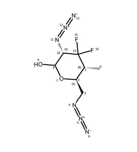 C[C@@H]1[C@@H](CN=[N+]=[N-])OC(O)[C@H](N=[N+]=[N-])C1(F)F